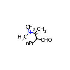 CCCC(C=O)[C@H](C)N(C)C